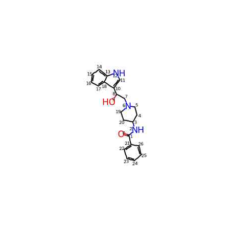 O=C(NC1CCN(CC(O)c2c[nH]c3ccccc23)CC1)c1ccccc1